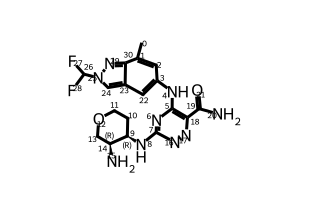 Cc1cc(Nc2nc(N[C@@H]3CCOC[C@@H]3N)nnc2C(N)=O)cc2cn(C(F)F)nc12